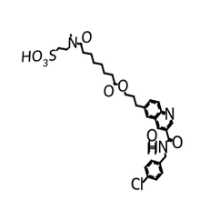 CN(CCS(=O)(=O)O)C(=O)CCCCCCC(=O)OCCCc1ccc2ncc(C(=O)NCc3ccc(Cl)cc3)c(O)c2c1